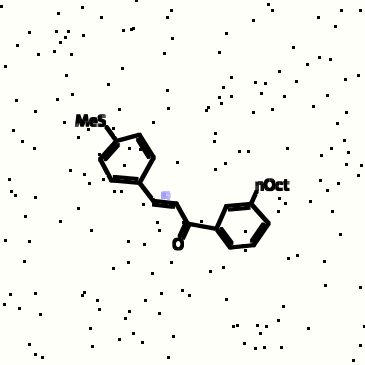 CCCCCCCCc1cccc(C(=O)/C=C/c2ccc(SC)cc2)c1